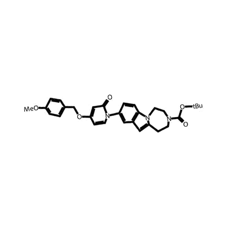 COc1ccc(COc2ccn(-c3ccc4c(c3)cc3n4CCN(C(=O)OC(C)(C)C)CC3)c(=O)c2)cc1